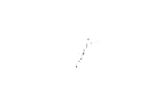 INCCCCOCCOI